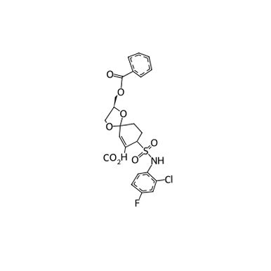 O=C(O)C1=CC2(CCC1S(=O)(=O)Nc1ccc(F)cc1Cl)OC[C@@H](COC(=O)c1ccccc1)O2